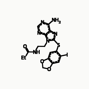 CCC(=O)NCCn1c(Sc2cc3c(cc2I)OCO3)nc2c(N)ncnc21